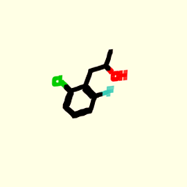 CC(O)Cc1c(F)cccc1Cl